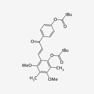 COc1c(C)c(OC)c(C=CC(=O)c2ccc(OC(=O)C(C)(C)C)cc2)c(OC(=O)C(C)(C)C)c1C